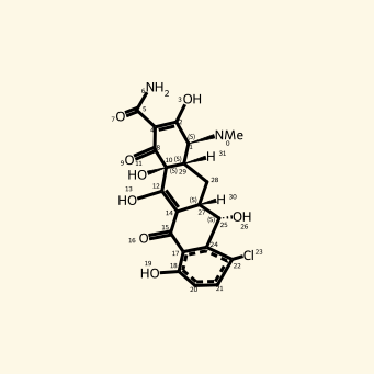 CN[C@@H]1C(O)=C(C(N)=O)C(=O)[C@@]2(O)C(O)=C3C(=O)c4c(O)ccc(Cl)c4[C@@H](O)[C@H]3C[C@@H]12